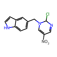 O=[N+]([O-])C1=CN(Cc2ccc3[nH]ccc3c2)C(Cl)N=C1